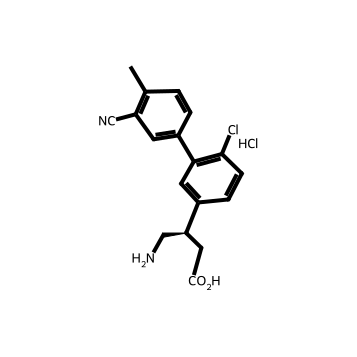 Cc1ccc(-c2cc([C@H](CN)CC(=O)O)ccc2Cl)cc1C#N.Cl